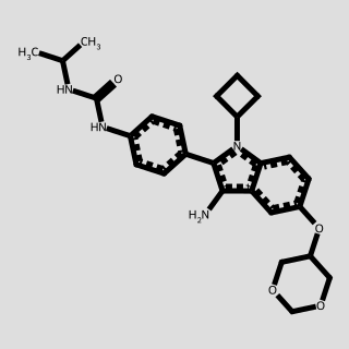 CC(C)NC(=O)Nc1ccc(-c2c(N)c3cc(OC4COCOC4)ccc3n2C2CCC2)cc1